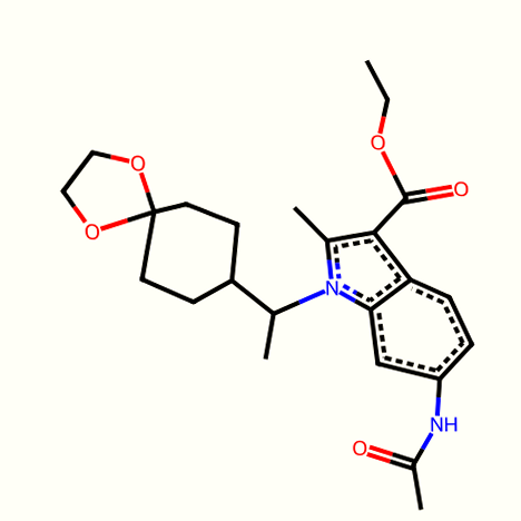 CCOC(=O)c1c(C)n(C(C)C2CCC3(CC2)OCCO3)c2cc(NC(C)=O)ccc12